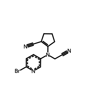 N#CCN(C1=C(C#N)CCC1)c1ccc(Br)nc1